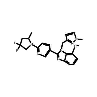 COc1cccc2nc(-c3ccc(N4CC(F)(F)CC4C)nc3)n(Cc3ccn(C)n3)c12